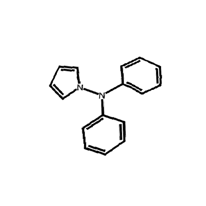 c1ccc(N(c2ccccc2)n2cccc2)cc1